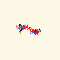 Cc1ncsc1-c1ccc(CNC(=O)[C@@H]2[C@@H](F)[C@@H](O)CN2C(=O)C(NC(=O)COCCOCCOCCOCCOCCOCC(=O)NC(C(=O)N2C[C@H](O)[C@H](F)[C@H]2C(=O)NCc2ccc(-c3scnc3C)cc2)C(C)(C)C)C(C)(C)C)cc1